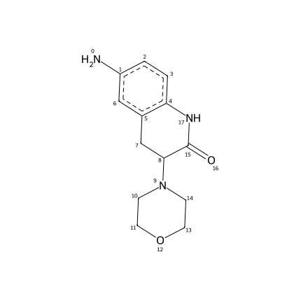 Nc1ccc2c(c1)CC(N1CCOCC1)C(=O)N2